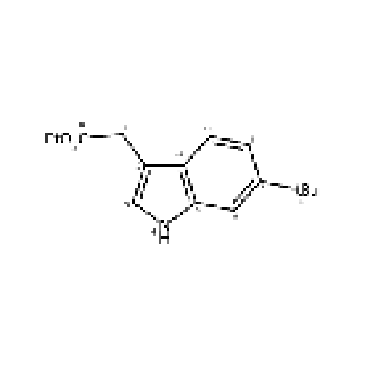 CCOC(=O)Cc1c[nH]c2cc(C(C)(C)C)ccc12